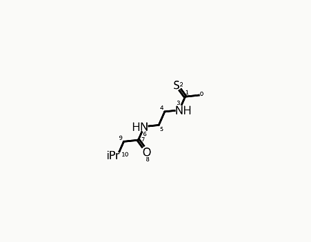 CC(=S)NCCNC(=O)CC(C)C